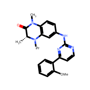 COc1ccccc1-c1ccnc(Nc2ccc3c(c2)N(C(C)C)[C@H](C)C(=O)N3C)n1